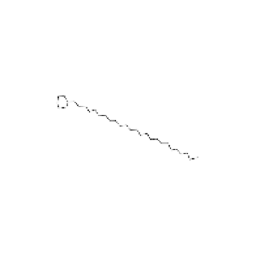 CCCCCCCCCCCCCCCCCCCCCCCCCC1CCCCC1